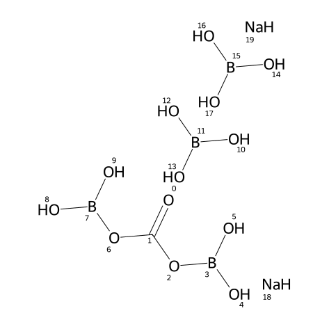 O=C(OB(O)O)OB(O)O.OB(O)O.OB(O)O.[NaH].[NaH]